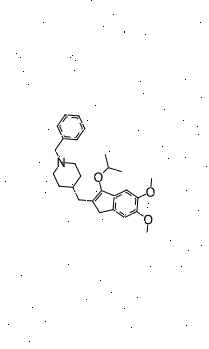 COc1cc2c(cc1OC)C(OC(C)C)=C(CC1CCN(Cc3ccccc3)CC1)C2